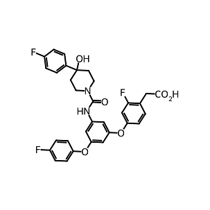 O=C(O)Cc1ccc(Oc2cc(NC(=O)N3CCC(O)(c4ccc(F)cc4)CC3)cc(Oc3ccc(F)cc3)c2)cc1F